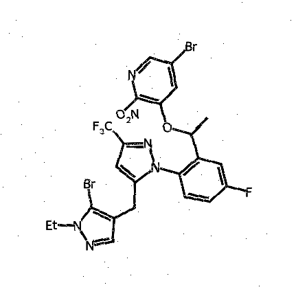 CCn1ncc(Cc2cc(C(F)(F)F)nn2-c2ccc(F)cc2C(C)Oc2cc(Br)cnc2[N+](=O)[O-])c1Br